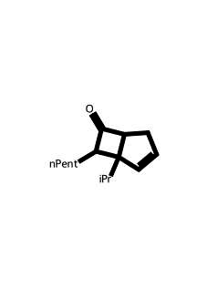 CCCCCC1C(=O)C2CC=CC21C(C)C